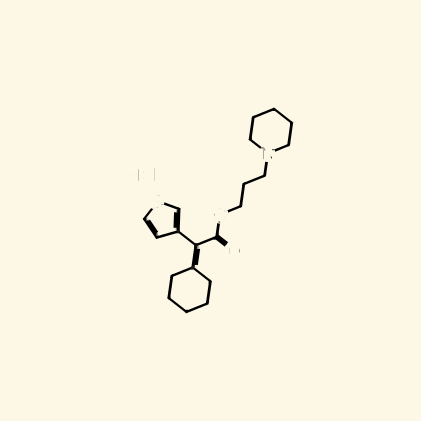 Cl.O=C(OCCCN1CCCCC1)C(=C1CCCCC1)c1ccsc1